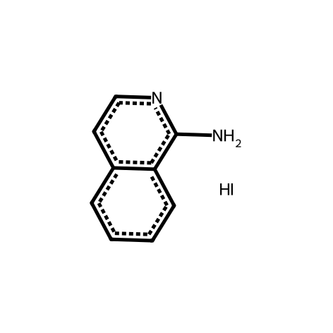 I.Nc1nccc2ccccc12